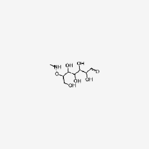 CNOC(CO)C(O)C(O)C(O)C(O)C=O